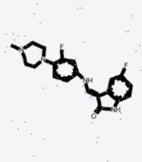 CN1CCN(c2ccc(N/C=C3/C(=O)Nc4ccc(F)cc43)cc2F)CC1